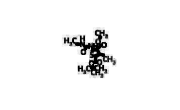 CCNC(=O)Nc1sc(C(=O)OC(C)(C)C)c(CC)c1C(=O)OCC